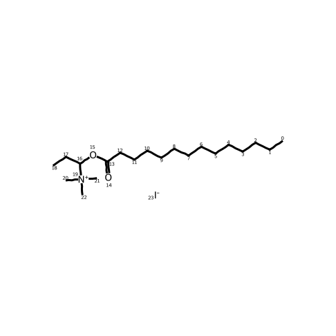 CCCCCCCCCCCCCC(=O)OC(CC)[N+](C)(C)C.[I-]